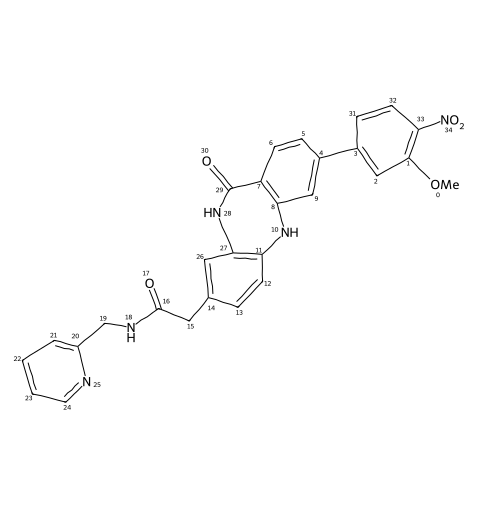 COc1cc(-c2ccc3c(c2)Nc2ccc(CC(=O)NCc4ccccn4)cc2NC3=O)ccc1[N+](=O)[O-]